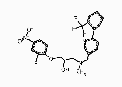 CN(Cc1ccc(-c2ccccc2C(F)(F)F)nc1)CC(O)COc1ccc([N+](=O)[O-])cc1F